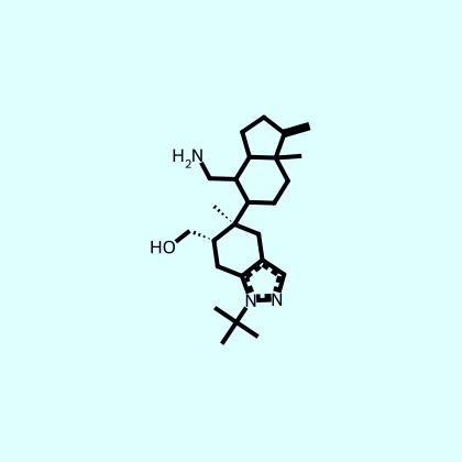 C=C1CCC2C(CN)C([C@@]3(C)Cc4cnn(C(C)(C)C)c4C[C@@H]3CO)CCC12C